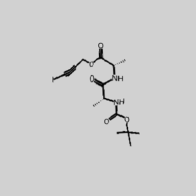 C[C@H](NC(=O)[C@@H](C)NC(=O)OC(C)(C)C)C(=O)OCC#CI